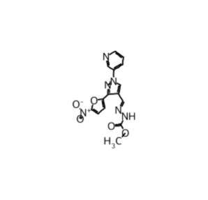 COC(=O)N/N=C/c1cn(-c2cccnc2)nc1-c1ccc([N+](=O)[O-])o1